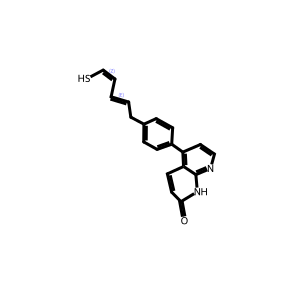 O=c1ccc2c(-c3ccc(C/C=C/C=C\S)cc3)ccnc2[nH]1